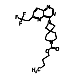 CCCCOC(=O)N1CCC2(CC1)CN(c1ncnc3ccc(CC(F)(F)F)nc13)C2